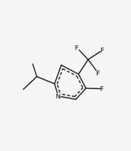 CC(C)c1cc(C(F)(F)F)c(F)cn1